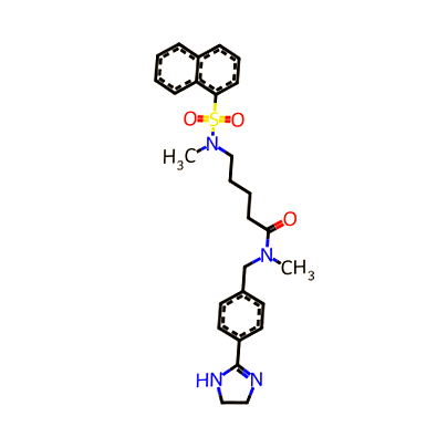 CN(Cc1ccc(C2=NCCN2)cc1)C(=O)CCCCN(C)S(=O)(=O)c1cccc2ccccc12